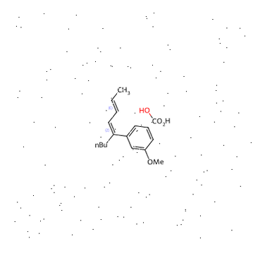 C/C=C/C=C(/CCCC)c1cccc(OC)c1.O=C(O)O